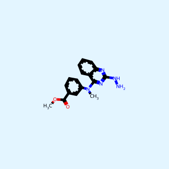 COC(=O)c1cccc(N(C)c2nc(NN)nc3ccccc23)c1